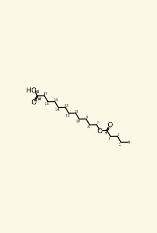 CCCCC(=O)OCCCCCCCCCCCC(=O)O